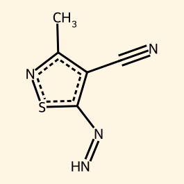 Cc1nsc(N=N)c1C#N